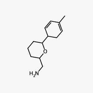 CC1=CCC(C2CCCC(CN)O2)C=C1